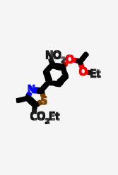 CCOC(=O)c1sc(-c2ccc(OC(C)OCC)c([N+](=O)[O-])c2)nc1C